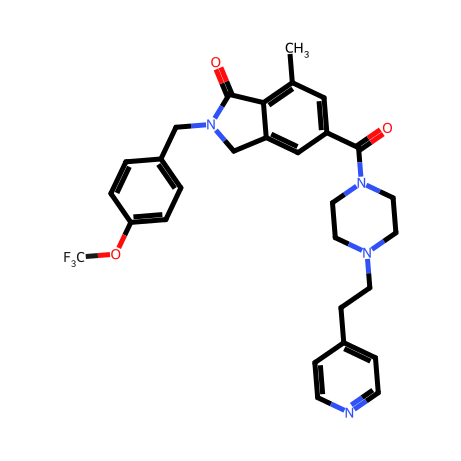 Cc1cc(C(=O)N2CCN(CCc3ccncc3)CC2)cc2c1C(=O)N(Cc1ccc(OC(F)(F)F)cc1)C2